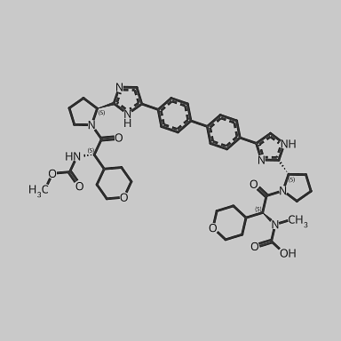 COC(=O)N[C@H](C(=O)N1CCC[C@H]1c1ncc(-c2ccc(-c3ccc(-c4c[nH]c([C@@H]5CCCN5C(=O)[C@H](C5CCOCC5)N(C)C(=O)O)n4)cc3)cc2)[nH]1)C1CCOCC1